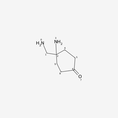 NCC1(N)CCC(=O)CC1